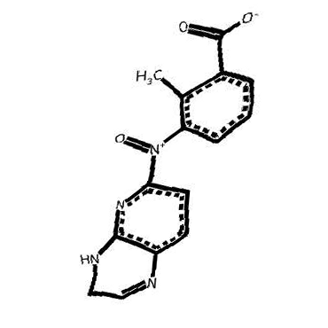 Cc1c(C(=O)[O-])cccc1[N+](=O)c1ccc2c(n1)NCC=N2